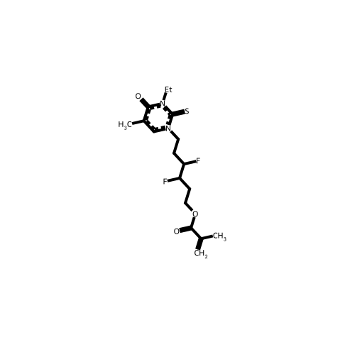 C=C(C)C(=O)OCCC(F)C(F)CCn1cc(C)c(=O)n(CC)c1=S